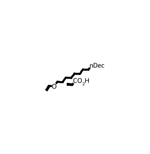 C=CC(=O)O.C=COCCCCCCCCCCCCCCCCCC